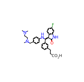 CN(C)CCN(C)Cc1ccc(NC(=C2C(=O)Nc3cc(F)ccc32)c2cccc(CCC(=O)O)c2)cc1